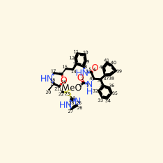 COC(=O)N[C@H](C(=O)Nc1ccccc1CC[C@@H]1CN[C@H](C)[C@@H](CSc2ncc[nH]2)O1)C(c1ccccc1)c1ccccc1